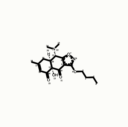 CCCCOc1noc2c1C(=O)[C@@]1(O)C(=O)C=C(C)C[C@H]1[C@@H]2N(C)C